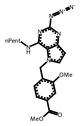 CCCCCNc1nc(N=[N+]=[N-])nc2ccn(Cc3ccc(C(=O)OC)cc3OC)c12